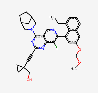 CCc1cccc2cc(OCOC)cc(-c3ncc4c(N5CC6CCC(C6)C5)nc(C#CC5(CO)CC5)nc4c3F)c12